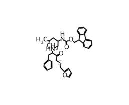 CC(C)CC(CNC(Cc1ccccc1)C(=O)CSCc1ccco1)NC(=O)OCC1c2ccccc2-c2ccccc21